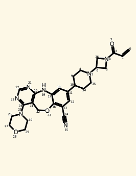 C=CC(=O)N1CC(N2CCC(c3cc(C#N)c4c(c3)Nc3ncnc(N5CCOCC5)c3CO4)CC2)C1